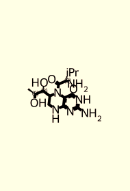 CC(C)[C@H](N)C(=O)N1c2c(nc(N)[nH]c2=O)NCC1[C@@H](O)[C@H](C)O